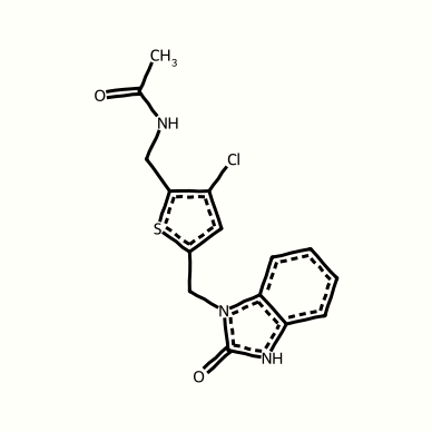 CC(=O)NCc1sc(Cn2c(=O)[nH]c3ccccc32)cc1Cl